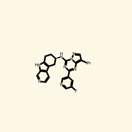 CC(C)c1cnn2c(N[C@@H]3CCc4[nH]c5cnccc5c4C3)nc(-c3cncc(F)c3)nc12